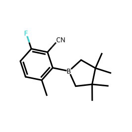 Cc1ccc(F)c(C#N)c1B1CC(C)(C)C(C)(C)C1